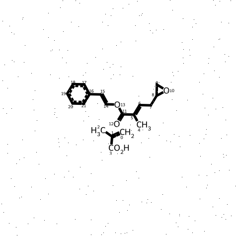 C=C(C)C(=O)O.CC(=CCC1CO1)C(=O)OC=Cc1ccccc1